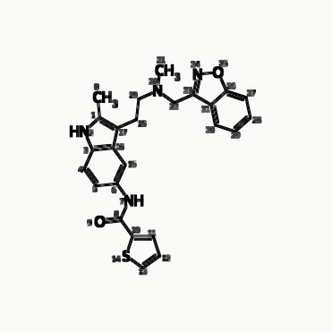 Cc1[nH]c2ccc(NC(=O)c3cccs3)cc2c1CCN(C)Cc1noc2ccccc12